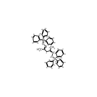 CC(CC(C)=NO[Si](c1ccccc1)(c1ccccc1)c1ccccc1)=NO[Si](c1ccccc1)(c1ccccc1)c1ccccc1